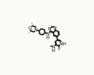 CNC1=CC(c2ccc3ncnc(NC4CCC(N5C[C@@H](C)O[C@@H](C)C5)CC4)c3c2)=CNC1F